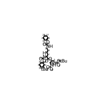 CC(C)(C)OC(=O)NCC(CNC(=O)OC(C)(C)C)OC(=O)C(CCCCNC(=O)Oc1ccccc1)NC(=O)Oc1ccccc1